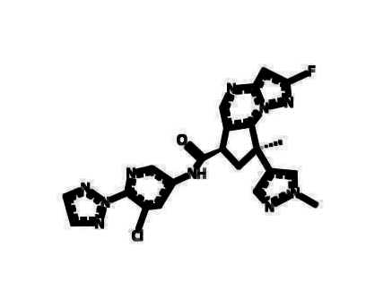 Cn1cc([C@@]2(C)C[C@@H](C(=O)Nc3cnc(-n4nccn4)c(Cl)c3)c3cnc4cc(F)nn4c32)cn1